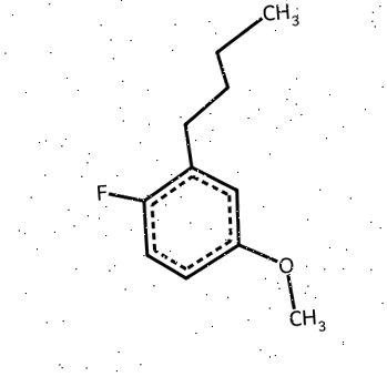 CCCCc1cc(OC)ccc1F